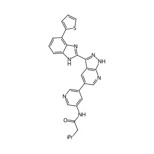 CC(C)CC(=O)Nc1cncc(-c2cnc3[nH]nc(-c4nc5c(-c6cccs6)cccc5[nH]4)c3c2)c1